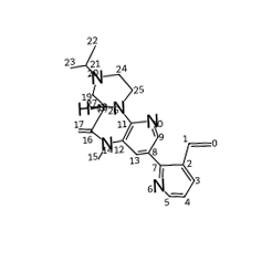 C=Cc1cccnc1-c1cnc2c(c1)N(C)C(=C)[C@@H]1CN(C(C)C)CCN21